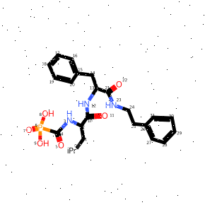 CC(C)CC(NC(=O)P(=O)(O)O)C(=O)NC(Cc1ccccc1)C(=O)NCCc1ccccc1